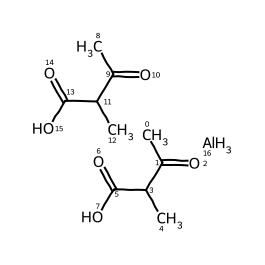 CC(=O)C(C)C(=O)O.CC(=O)C(C)C(=O)O.[AlH3]